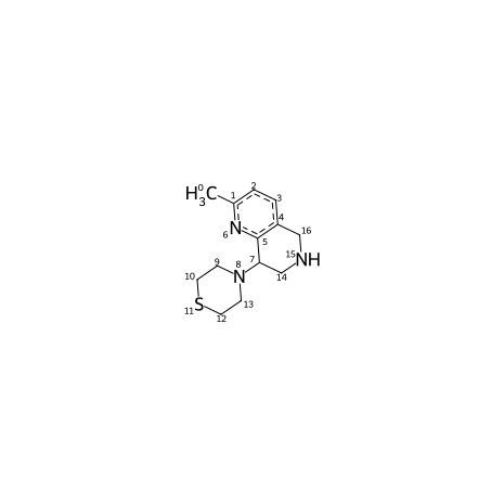 Cc1ccc2c(n1)C(N1CCSCC1)CNC2